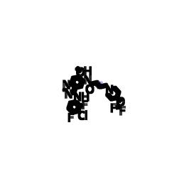 COc1cc2ncnc(Nc3ccc(F)c(Cl)c3F)c2cc1NC(=O)/C=C/CN1CCC(OC(F)F)CC1